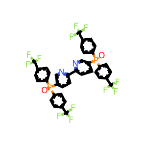 O=P(c1ccc(C(F)(F)F)cc1)(c1ccc(C(F)(F)F)cc1)c1ccc(-c2ccc(P(=O)(c3ccc(C(F)(F)F)cc3)c3ccc(C(F)(F)F)cc3)cn2)nc1